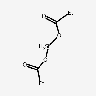 CCC(=O)O[SiH2]OC(=O)CC